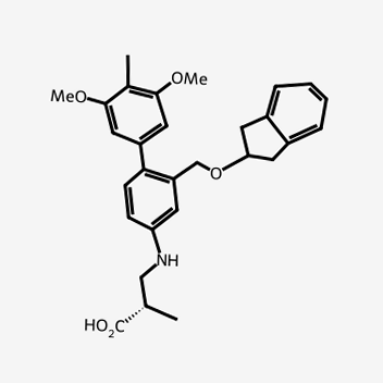 COc1cc(-c2ccc(NC[C@H](C)C(=O)O)cc2COC2Cc3ccccc3C2)cc(OC)c1C